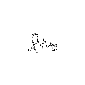 CN=NC.CS(=O)(=O)O.O=[N+]([O-])c1ccccc1